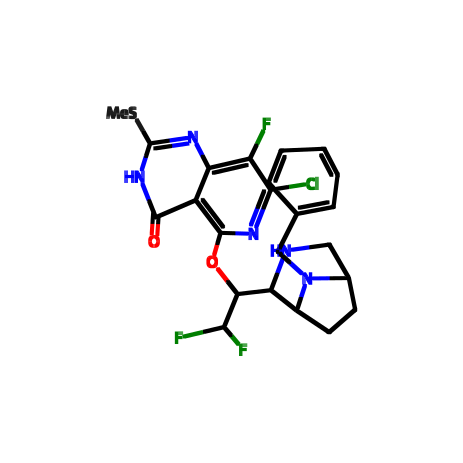 CSc1nc2c(F)c(Cl)nc(OC(C(F)F)C3NCC4CCC3N4Cc3ccccc3)c2c(=O)[nH]1